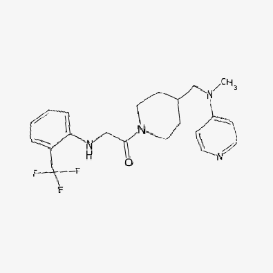 CN(CC1CCN(C(=O)CNc2ccccc2C(F)(F)F)CC1)c1ccncc1